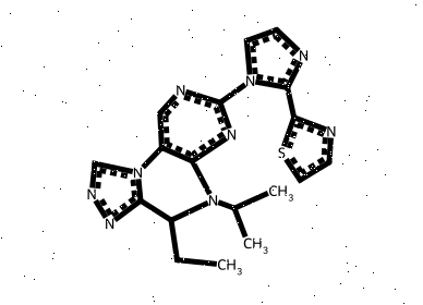 CCC1c2nncn2-c2cnc(-n3ccnc3-c3nccs3)nc2N1C(C)C